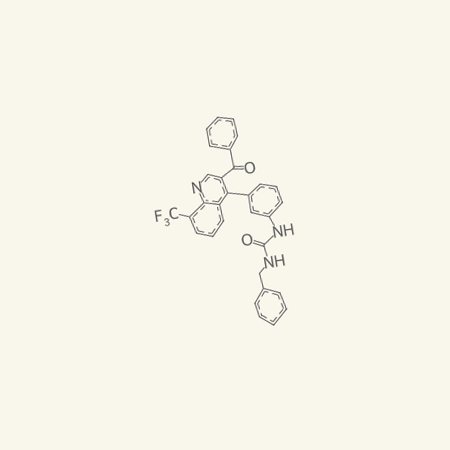 O=C(NCc1ccccc1)Nc1cccc(-c2c(C(=O)c3ccccc3)cnc3c(C(F)(F)F)cccc23)c1